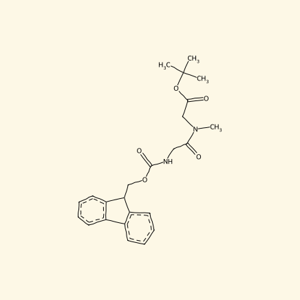 CN(CC(=O)OC(C)(C)C)C(=O)CNC(=O)OCC1c2ccccc2-c2ccccc21